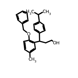 Cc1ccc(OCc2ccccc2)c(C(CCO)c2ccc(C(C)C)cc2)c1